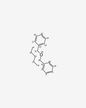 CCCCC.c1ccc(COCc2ccccc2)cc1